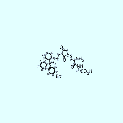 NC(CSC1CC(=O)N(CCCC[P+](c2ccccc2)(c2ccccc2)c2ccccc2)C1=O)C(=O)NCC(=O)O.[Br-]